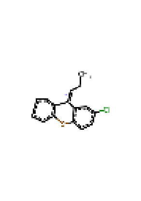 CC/C=C1/c2ccccc2Sc2ccc(Cl)cc21